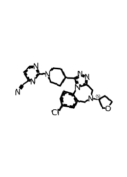 N#Cc1ccnc(N2CCC(c3nnc4n3-c3ccc(Cl)cc3CN([C@H]3CCOC3)C4)CC2)n1